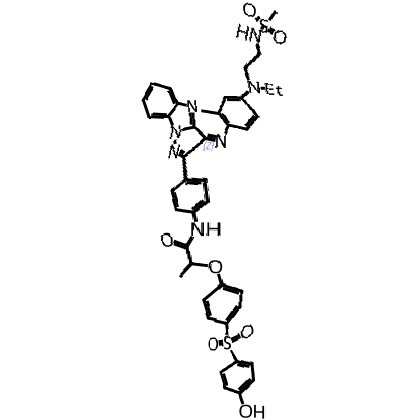 CCN(CCNS(C)(=O)=O)c1ccc(/N=C2/C(c3ccc(NC(=O)C(C)Oc4ccc(S(=O)(=O)c5ccc(O)cc5)cc4)cc3)=Nn3c2nc2ccccc23)c(C)c1